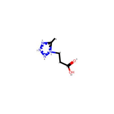 Cc1nnnn1CCC(=O)O